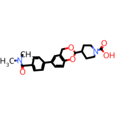 CN(C)C(=O)c1ccc(-c2ccc3c(c2)COC(C2CCN(C(=O)O)CC2)O3)cc1